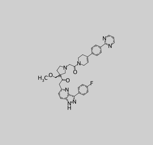 COC[C@@]1(C(=O)Cc2ccc3[nH]nc(-c4ccc(F)cc4)c3n2)CCN(CC(=O)N2CC=C(c3ccc(-c4ncccn4)cc3)CC2)C1